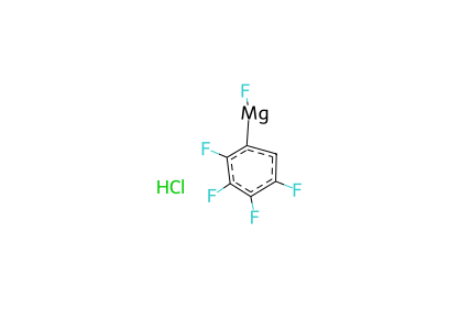 Cl.[F][Mg][c]1cc(F)c(F)c(F)c1F